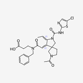 C/C=C1\C(=C/C(=O)N(CCC(=O)O)Cc2ccccc2)C2(CCN(C(C)=O)C2)CN1C(=O)Nc1ncc(Cl)s1